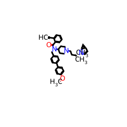 C#Cc1ccccc1C(=O)N(Cc1ccc(-c2ccc(OC)cc2)cc1)C1CCN(CCC(C)C)CC1.c1cc2cc-2n1